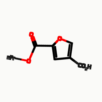 CCCOC(=O)c1cc(C(=O)O)co1